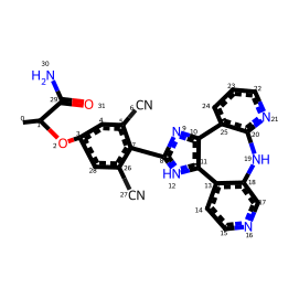 CC(Oc1cc(C#N)c(-c2nc3c([nH]2)-c2ccncc2Nc2ncccc2-3)c(C#N)c1)C(N)=O